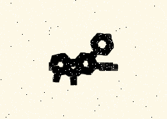 COc1cc2c(cc1N1CCOCC1)c1ccnc(C)c1n2C